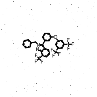 FC(F)(F)c1cc(Oc2cccc(-c3c4cccc(C(F)(F)F)c4nn3Cc3ccccc3)c2)cc(C(F)(F)F)c1